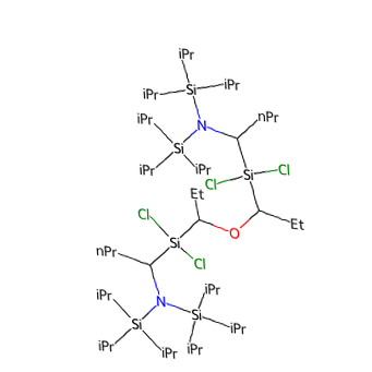 CCCC(N([Si](C(C)C)(C(C)C)C(C)C)[Si](C(C)C)(C(C)C)C(C)C)[Si](Cl)(Cl)C(CC)OC(CC)[Si](Cl)(Cl)C(CCC)N([Si](C(C)C)(C(C)C)C(C)C)[Si](C(C)C)(C(C)C)C(C)C